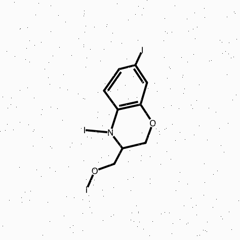 IOCC1COc2cc(I)ccc2N1I